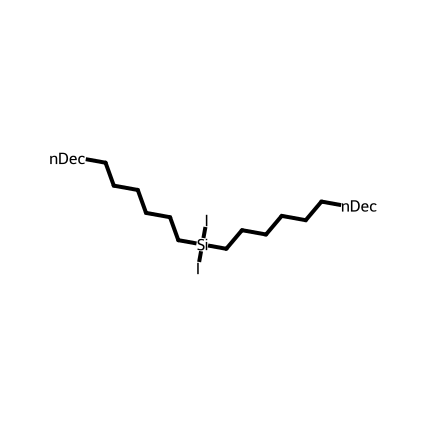 CCCCCCCCCCCCCCCC[Si](I)(I)CCCCCCCCCCCCCCCC